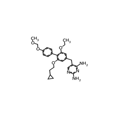 CCOc1cc(Cc2cnc(N)nc2N)cc(OCCC2CC2)c1-c1ccc(OCOC)cc1